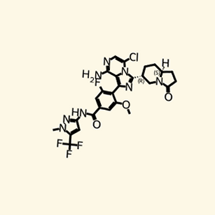 COc1cc(C(=O)Nc2cc(C(F)(F)F)n(C)n2)cc(F)c1-c1nc([C@@H]2CC[C@H]3CCC(=O)N3C2)n2c(Cl)cnc(N)c12